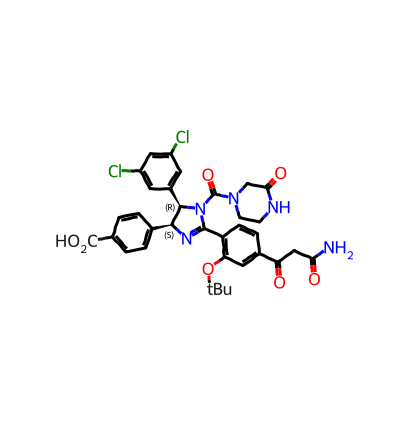 CC(C)(C)Oc1cc(C(=O)CC(N)=O)ccc1C1=N[C@@H](c2ccc(C(=O)O)cc2)[C@@H](c2cc(Cl)cc(Cl)c2)N1C(=O)N1CCNC(=O)C1